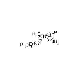 Bc1ccc2c(N3CC(C)OC(CN4CCN(c5ccc(C)nc5)CC4)C3)ccc(C#N)c2n1